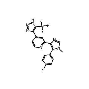 Cn1cnc(-c2cc(-c3nn[nH]c3C(F)(F)F)ccn2)c1-c1ccc(F)cc1